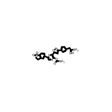 N=C(N)Cc1ccc(-c2cc(-c3nc(-c4ccc5c(c4)CCS5(=O)=O)cnc3OC(N)=O)on2)cc1